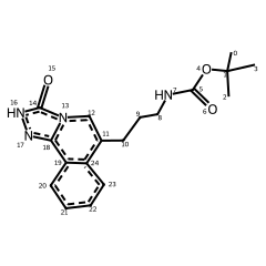 CC(C)(C)OC(=O)NCCCc1cn2c(=O)[nH]nc2c2ccccc12